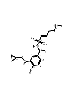 CNCC/C=C/S(=O)(=O)N[C@@H](C)c1ccc(F)c(OCC2CC2)c1